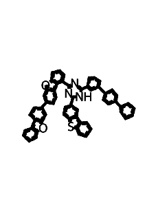 c1ccc(-c2ccc(-c3cccc(C4=NC(c5cccc6oc7cc(-c8ccc9c(c8)oc8ccccc89)ccc7c56)=NC(c5ccc6sc7ccccc7c6c5)N4)c3)cc2)cc1